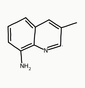 Cc1[c]nc2c(N)cccc2c1